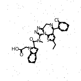 CCc1cc2c(s1)-n1c(nnc1N(C)C(=O)c1cc3ccccc3n1CC(=O)O)CN=C2c1ccccc1Cl